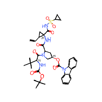 C=CC1C[C@]1(NC(=O)C1C[C@@H](OC(=O)n2c3ccccc3c3ccccc32)CN1C(=O)[C@@H](NC(=O)OC(C)(C)C)C(C)(C)C)C(=O)NS(=O)(=O)C1CC1